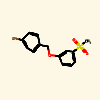 CS(=O)(=O)c1cccc(OCc2ccc(Br)cc2)c1